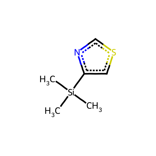 C[Si](C)(C)c1cscn1